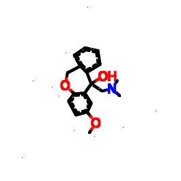 COc1ccc2c(c1)C(O)(CN(C)C)c1ccccc1CO2